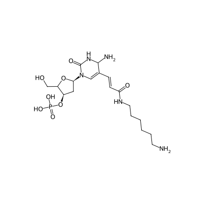 NCCCCCCNC(=O)/C=C/C1=CN([C@H]2C[C@@H](OP(=O)(O)O)C(CO)O2)C(=O)NC1N